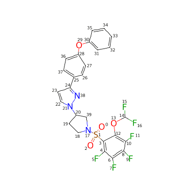 O=S(=O)(c1c(F)c(F)c(F)c(F)c1OC(F)F)N1CCC(n2ccc(-c3ccc(Oc4ccccc4)cc3)n2)C1